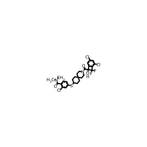 CN(C)C(=O)c1ccc(SC2CCC3(CC2)CCN(C(=O)[C@]2(O)c4cc(Cl)cc(Cl)c4C2(F)F)CC3)cc1Cl